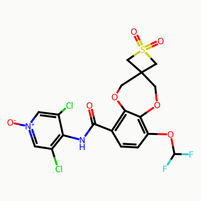 O=C(Nc1c(Cl)c[n+]([O-])cc1Cl)c1ccc(OC(F)F)c2c1OCC1(CO2)CS(=O)(=O)C1